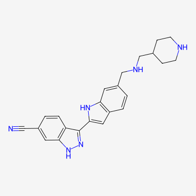 N#Cc1ccc2c(-c3cc4ccc(CNCC5CCNCC5)cc4[nH]3)n[nH]c2c1